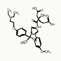 CCN(CC)CCOc1ccc(C(C)(O)c2ccccc2-c2ccc(OC)cc2)cc1.O=C(O)CC(O)(CC(=O)O)C(=O)O